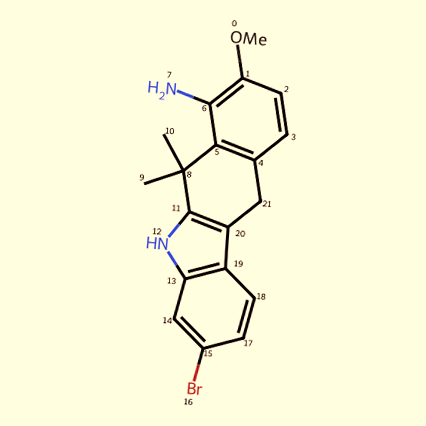 COc1ccc2c(c1N)C(C)(C)c1[nH]c3cc(Br)ccc3c1C2